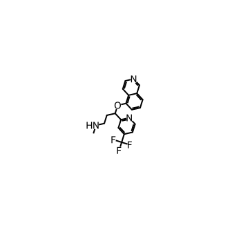 CNCCC(Oc1cccc2cnccc12)c1cc(C(F)(F)F)ccn1